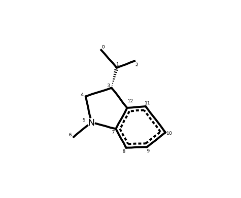 CC(C)[C@H]1CN(C)c2ccccc21